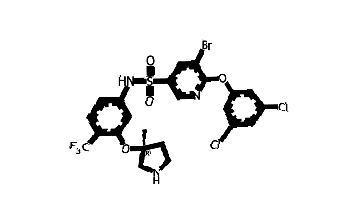 C[C@@]1(Oc2cc(NS(=O)(=O)c3cnc(Oc4cc(Cl)cc(Cl)c4)c(Br)c3)ccc2C(F)(F)F)CCNC1